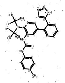 BC(B)(C(C)C)N(c1ccc(-c2ccccc2-c2nnn[nH]2)cc1NC(=O)Nc1ccc(C)cc1)C(B)(B)C(C)C